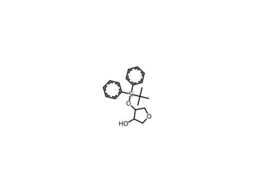 CC(C)(C)[Si](OC1COCC1O)(c1ccccc1)c1ccccc1